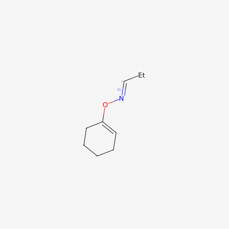 CC/[C]=N/OC1=CCCCC1